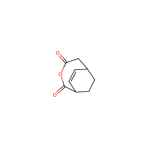 O=C1CC2C=CC(CC2)C(=O)O1